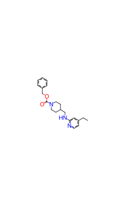 CCc1ccnc(NCC2CCN(C(=O)OCc3ccccc3)CC2)c1